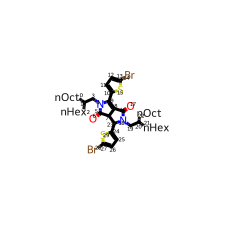 CCCCCCCCC(CCCCCC)CN1C(=O)C2C(=C1c1ccc(Br)s1)C(=O)N(CC(CCCCCC)CCCCCCCC)C2c1ccc(Br)s1